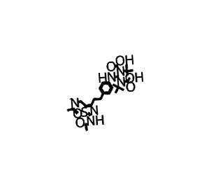 CC(=O)Nc1nc(CCc2ccc(NC(N(C(=O)O)C(C)(C)C)N(C(=O)O)C(C)(C)C)cc2)c(CN(C)C(C)=O)s1